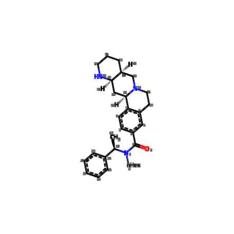 CCCCCCN(C(=O)c1ccc2c(c1)CCN1C[C@@H]3CCCN[C@@H]3C[C@H]21)[C@H](C)c1ccccc1